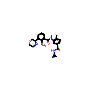 Cc1ccc(C(=O)NC2CC2)cc1NC(=O)c1cccc(C2COCCN2)c1[N+](=O)[O-]